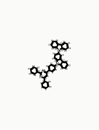 c1ccc(-c2cc(-c3ccc(-n4c5ccccc5c5cc(-n6c7ccccc7c7ccccc76)ccc54)cc3)nc(-c3ccccc3)n2)cc1